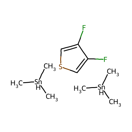 Fc1cscc1F.[CH3][SnH]([CH3])[CH3].[CH3][SnH]([CH3])[CH3]